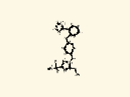 CCCC(F)(F)c1nc(CC(C)C)n(Cc2ccc(Cc3ccccc3-c3nnn[nH]3)cc2)n1